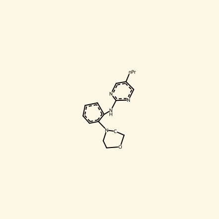 CCCc1cnc(Nc2ccccc2N2CCOCC2)nc1